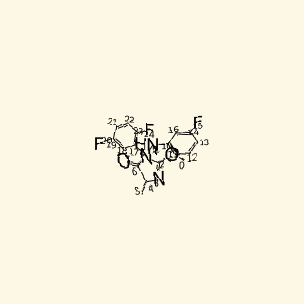 COC1=NC(C)C(=O)[N+]1(Nc1cccc(F)c1)c1cc(F)ccc1F